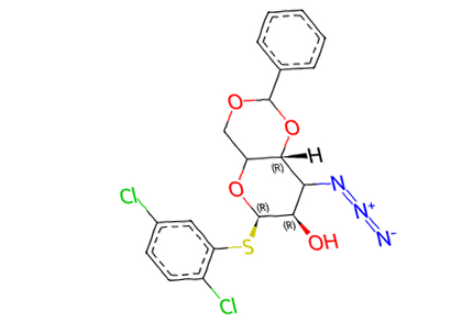 [N-]=[N+]=NC1[C@H]2OC(c3ccccc3)OCC2O[C@H](Sc2cc(Cl)ccc2Cl)[C@@H]1O